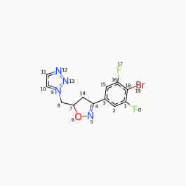 Fc1cc(C2=NOC(Cn3ccnn3)C2)cc(F)c1Br